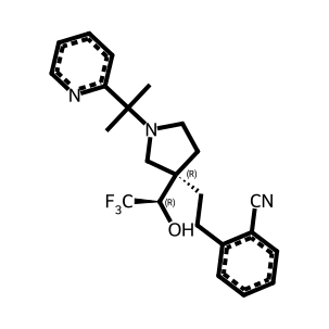 CC(C)(c1ccccn1)N1CC[C@@](CCc2ccccc2C#N)([C@@H](O)C(F)(F)F)C1